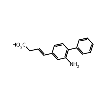 Nc1cc(/C=C/CC(=O)O)ccc1-c1ccccc1